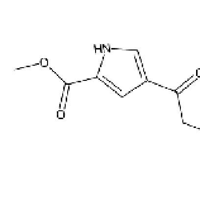 CCC(=O)c1c[nH]c(C(=O)OC)c1